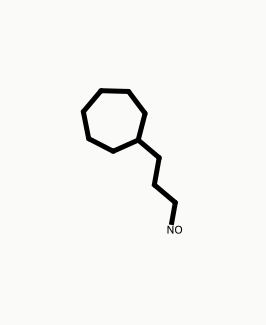 O=NCCCC1CCCCCC1